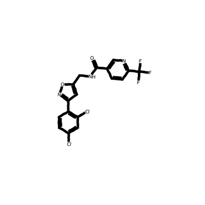 O=C(NCc1cc(-c2ccc(Cl)cc2Cl)no1)c1ccc(C(F)(F)F)nc1